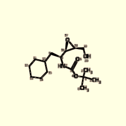 CC(C)(C)OC(=O)N[C@@H](CC1CCCCC1)[C@H]1O[C@H]1CO